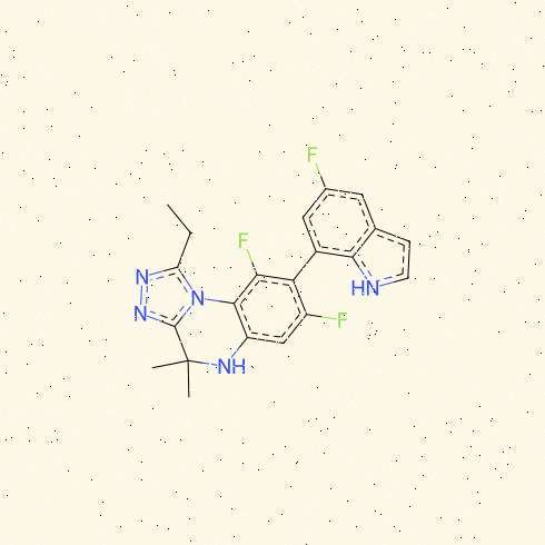 CCc1nnc2n1-c1c(cc(F)c(-c3cc(F)cc4cc[nH]c34)c1F)NC2(C)C